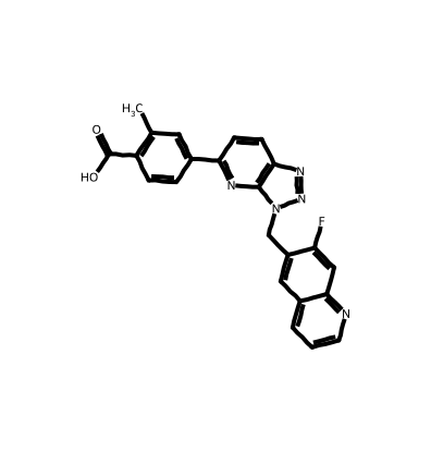 Cc1cc(-c2ccc3nnn(Cc4cc5cccnc5cc4F)c3n2)ccc1C(=O)O